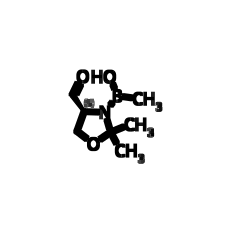 CB(O)N1[C@H](C=O)COC1(C)C